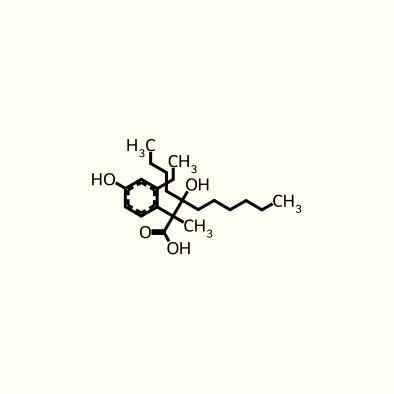 CCCCCCC(O)(CCCC)C(C)(C(=O)O)c1ccc(O)cc1CC